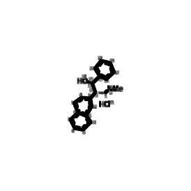 CNC[C@H](c1ccc2ccccc2c1)[C@@H](O)c1ccccc1.Cl